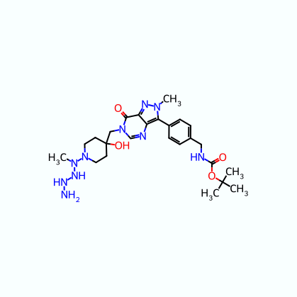 CN(NNN)N1CCC(O)(Cn2cnc3c(-c4ccc(CNC(=O)OC(C)(C)C)cc4)n(C)nc3c2=O)CC1